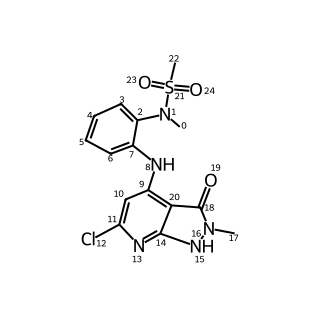 CN(c1ccccc1Nc1cc(Cl)nc2[nH]n(C)c(=O)c12)S(C)(=O)=O